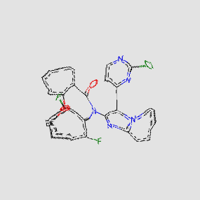 CCOc1ccccc1C(=O)N(c1nc2ccccn2c1-c1ccnc(Cl)n1)c1c(F)cccc1F